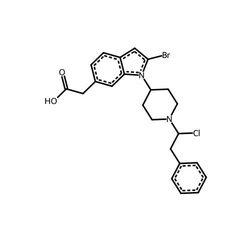 O=C(O)Cc1ccc2cc(Br)n(C3CCN(C(Cl)Cc4ccccc4)CC3)c2c1